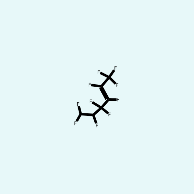 FC(=C(F)C(F)(F)C(F)C(F)F)C(F)(F)F